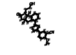 CC(C)Oc1ccc(-c2nsc(-c3cccc4c3C[C@@H]3CC(=O)N(CCO)[C@H]43)n2)cc1C#N